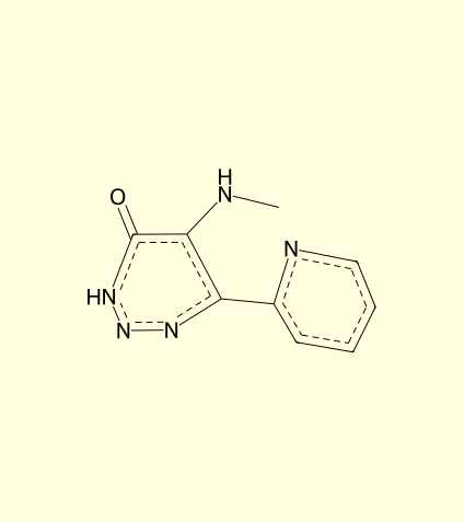 CNc1c(-c2ccccn2)nn[nH]c1=O